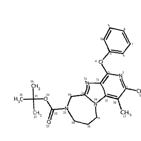 Cc1nc(Oc2ccccc2)c2nc3n(c2c1C)CCCN(C(=O)OC(C)(C)C)C3